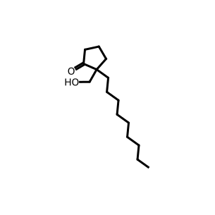 CCCCCCCCCC1(CO)CCCC1=O